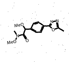 COC(C(=O)N(C)OC)c1ccc(-c2nnc(C)o2)cc1